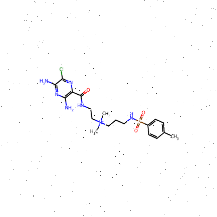 Cc1ccc(S(=O)(=O)NCCC[N+](C)(C)CCNC(=O)c2nc(Cl)c(N)nc2N)cc1